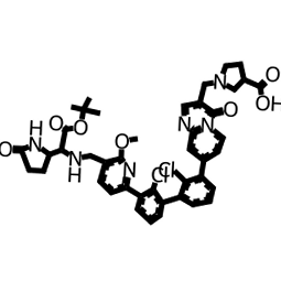 COc1nc(-c2cccc(-c3cccc(-c4ccn5c(=O)c(CN6CCC(C(=O)O)C6)cnc5c4)c3Cl)c2Cl)ccc1CNC(C(=O)OC(C)(C)C)C1CCC(=O)N1